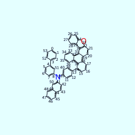 c1ccc(-c2cccc(N(c3ccc(-c4cccc5c6ccc7oc8ccccc8c7c6c6ccccc6c45)cc3)c3ccc4ccccc4c3)c2)cc1